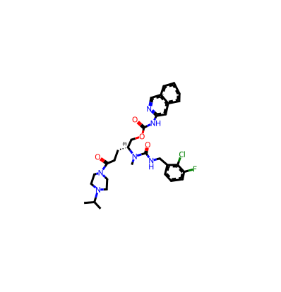 CC(C)N1CCN(C(=O)CC[C@H](COC(=O)Nc2cc3ccccc3cn2)N(C)C(=O)NCc2cccc(F)c2Cl)CC1